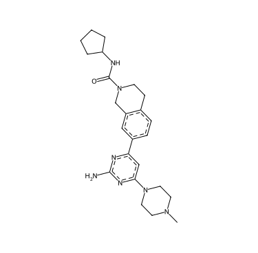 CN1CCN(c2cc(-c3ccc4c(c3)CN(C(=O)NC3CCCC3)CC4)nc(N)n2)CC1